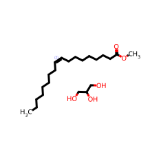 CCCCCCCC/C=C\CCCCCCCC(=O)OC.OCC(O)CO